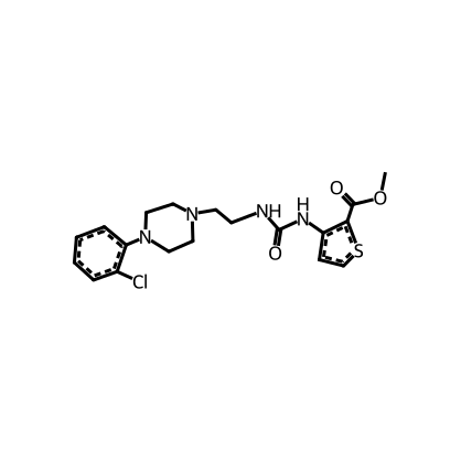 COC(=O)c1sccc1NC(=O)NCCN1CCN(c2ccccc2Cl)CC1